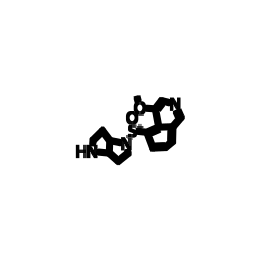 COc1cncc2cccc([S+]([O-])N3CCC4NCCC43)c12